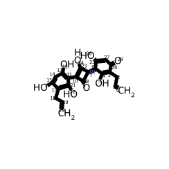 C=CCC1=C(O)/C(=C2\C(=O)C(c3c(O)cc(O)c(CC=C)c3O)=C2O)C(O)=CC1=O